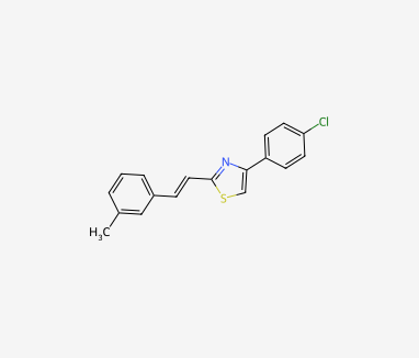 Cc1cccc(/C=C/c2nc(-c3ccc(Cl)cc3)cs2)c1